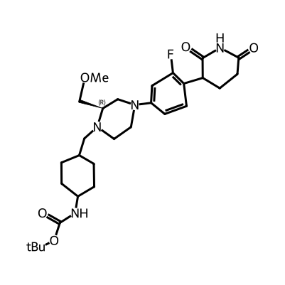 COC[C@H]1CN(c2ccc(C3CCC(=O)NC3=O)c(F)c2)CCN1CC1CCC(NC(=O)OC(C)(C)C)CC1